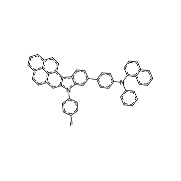 Fc1ccc(-n2c3cc(-c4ccc(N(c5ccccc5)c5cccc6ccccc56)cc4)ccc3c3c4ccc5cccc6ccc(cc32)c4c65)cc1